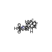 C[C@@H](Nc1cc(NC2CC2)n2ncc(/C=C3\NC(=O)NC3=O)c2n1)c1ccccc1